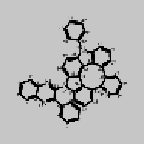 c1ccc(-c2nc3ccccc3nc2-n2c3cccc4c5ncccc5c5cccc6c5c5c(c43)c2ccc5n6-c2ccccc2)cc1